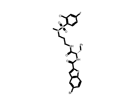 CC(C)C[C@H](NC(=O)c1cc2cc(Br)ccc2s1)C(=O)NCCCN(C)S(=O)(=O)c1ccc(F)cc1Cl